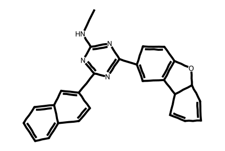 CNc1nc(-c2ccc3c(c2)C2C=CC=CC2O3)nc(-c2ccc3ccccc3c2)n1